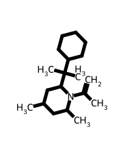 C=C(C)N1C(C)CC(C)CC1C(C)(C)C1CCCCC1